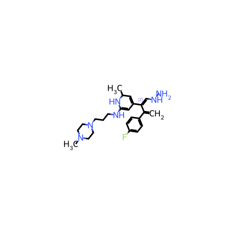 C=C(/C(=C\NN)C1=CC(C)NC(NCCCN2CCN(C)CC2)=C1)c1ccc(F)cc1